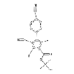 CCC(C)(C)OC(=O)n1c(C)c(-c2ccc(C#N)cc2)c(C#N)c1I